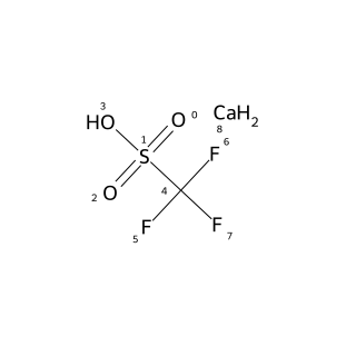 O=S(=O)(O)C(F)(F)F.[CaH2]